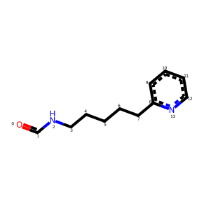 O=[C]NCCCCCc1ccccn1